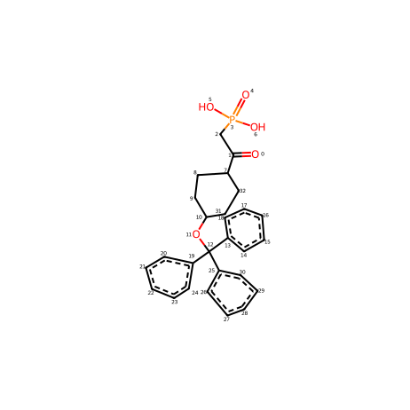 O=C(CP(=O)(O)O)C1CCC(OC(c2ccccc2)(c2ccccc2)c2ccccc2)CC1